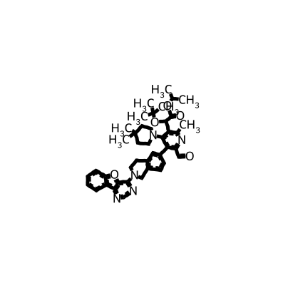 Cc1nc(C=O)c(-c2ccc3c(c2)CCN(c2ncnc4c2oc2ccccc24)C3)c(N2CCC(C)(C)CC2)c1C(OC(C)(C)C)C(=O)OC(C)C